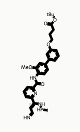 COc1cc(-c2cccc(OCCCC(=O)OC(C)(C)C)c2)ccc1NC(=O)c1cccc(/C(=C/C=N)NPI)n1